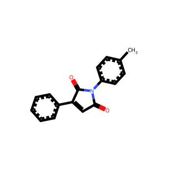 Cc1ccc(N2C(=O)C=C(c3ccccc3)C2=O)cc1